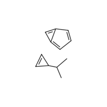 CC(C)C1C=C1.c1cc2cc-2c1